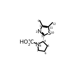 Cc1nc([C@@H]2CCCN2C(=O)O)sc1C